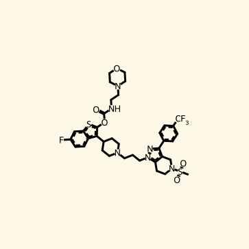 CS(=O)(=O)N1CCc2c(c(-c3ccc(C(F)(F)F)cc3)nn2CCCN2CCC(c3c(OC(=O)NCCN4CCOCC4)sc4cc(F)ccc34)CC2)C1